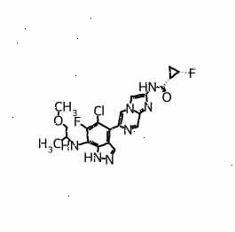 COCC(C)Nc1c(F)c(Cl)c(-c2cn3cc(NC(=O)[C@@H]4C[C@@H]4F)nc3cn2)c2cn[nH]c12